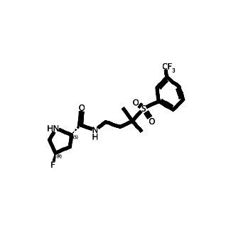 CC(C)(CCNC(=O)[C@@H]1C[C@@H](F)CN1)S(=O)(=O)c1cccc(C(F)(F)F)c1